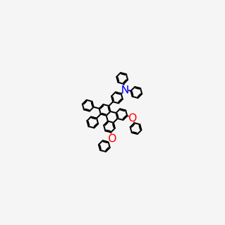 c1ccc(Oc2ccc3c(c2)c2cc(Oc4ccccc4)ccc2c2c(-c4ccccc4)c(-c4ccccc4)cc(-c4ccc(N(c5ccccc5)c5ccccc5)cc4)c32)cc1